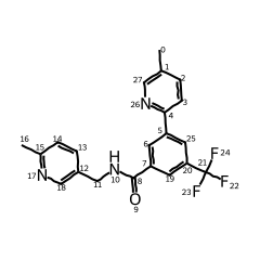 Cc1ccc(-c2cc(C(=O)NCc3ccc(C)nc3)cc(C(F)(F)F)c2)nc1